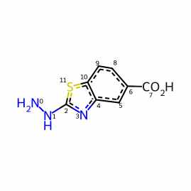 NNc1nc2cc(C(=O)O)ccc2s1